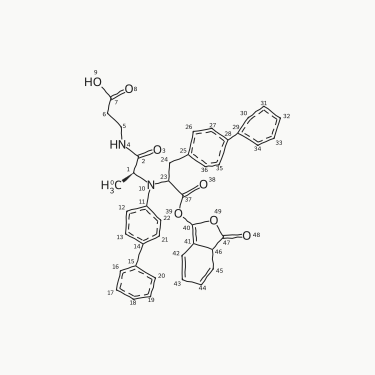 C[C@@H](C(=O)NCCC(=O)O)N(c1ccc(-c2ccccc2)cc1)C(Cc1ccc(-c2ccccc2)cc1)C(=O)OC1=C2C=CC=CC2C(=O)O1